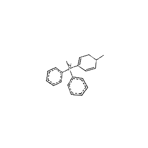 CC1C=CC([PH](C)(c2ccccc2)c2ccccc2)=CC1